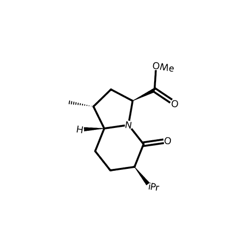 COC(=O)[C@@H]1C[C@@H](C)[C@H]2CC[C@H](C(C)C)C(=O)N21